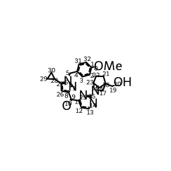 COc1ccc(Cn2nc(C(=O)c3ccnc(N4CC5(CO)CCC4C5)n3)cc2C2CC2)cc1